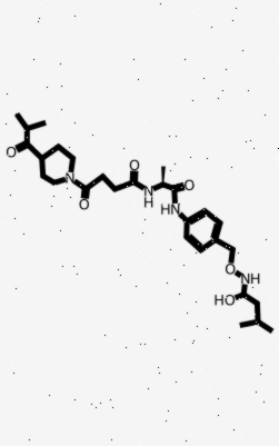 CC(C)CC(O)NOCc1ccc(NC(=O)[C@H](C)NC(=O)CCC(=O)N2CCC(C(=O)C(C)C)CC2)cc1